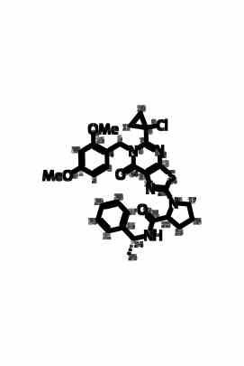 COc1ccc(Cn2c(C3(Cl)CC3)nc3sc(N4CCCC4C(=O)N[C@H](C)c4ccccc4)nc3c2=O)c(OC)c1